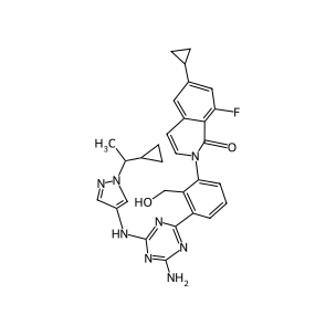 CC(C1CC1)n1cc(Nc2nc(N)nc(-c3cccc(-n4ccc5cc(C6CC6)cc(F)c5c4=O)c3CO)n2)cn1